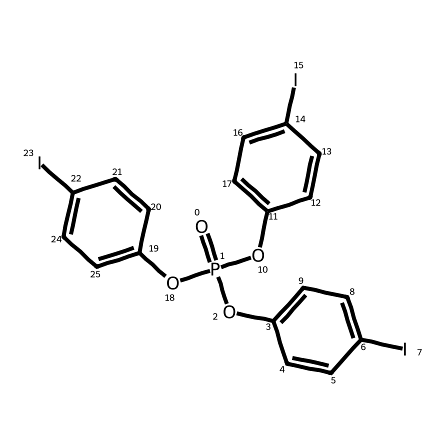 O=P(Oc1ccc(I)cc1)(Oc1ccc(I)cc1)Oc1ccc(I)cc1